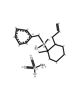 C=CCC1CCCCC1(C)[N+](C)(CC)Cc1ccccc1.NS(=O)(=O)[O-]